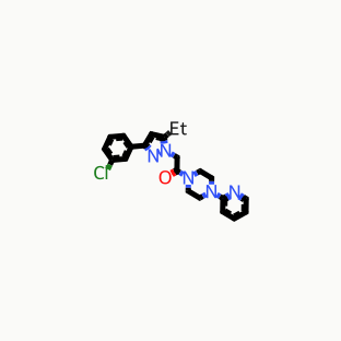 CCc1cc(-c2cccc(Cl)c2)nn1CC(=O)N1CCN(c2ccccn2)CC1